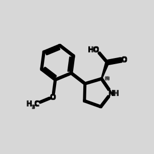 COc1ccccc1C1CCN[C@@H]1C(=O)O